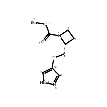 CC(C)(C)OC(=O)N1CC[C@@H]1COc1cn[nH]c1